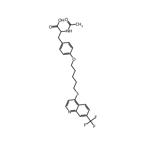 CC(=O)NC(Cc1ccc(OCCCCCSc2ccnc3cc(C(F)(F)F)ccc23)cc1)C(=O)O